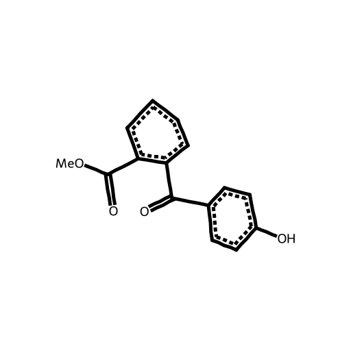 COC(=O)c1ccccc1C(=O)c1ccc(O)cc1